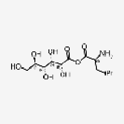 CC(C)C[C@H](N)C(=O)OC(=O)[C@H](O)[C@@H](O)[C@H](O)[C@H](O)CO